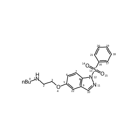 CCCCNCCOc1ccc2c(cnn2S(=O)(=O)c2ccccc2)c1